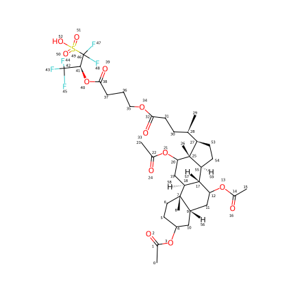 CC(=O)OC1CC[C@@]2(C)[C@@H](C1)CC(OC(C)=O)[C@@H]1[C@@H]2CC(OC(C)=O)[C@]2(C)[C@@H]([C@H](C)CCC(=O)OCCCC(=O)O[C@@H](C(F)(F)F)C(F)(F)S(=O)(=O)O)CC[C@@H]12